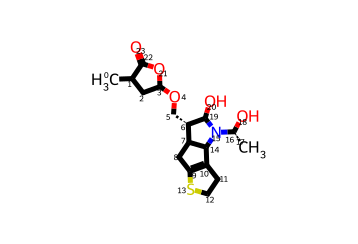 CC1CC(OC[C@H]2C3CC4=C(CCS4)C3N([C@@H](C)O)C2O)OC1=O